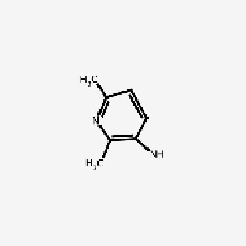 Cc1ccc([NH])c(C)n1